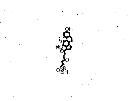 CC12C(O)CC3C(CCC4CC(O)CC[C@@]43C)C1CCC2C(=O)CCC(=O)CCCS(=O)(=O)O